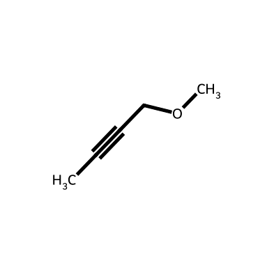 CC#CCOC